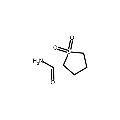 NC=O.O=S1(=O)CCCC1